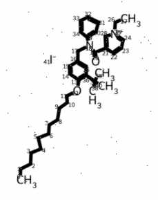 CCCCCCCCCCCCOc1ccc(CN(C(=O)c2ccc[n+](CC)c2)c2ccccc2)cc1C(C)(C)C.[I-]